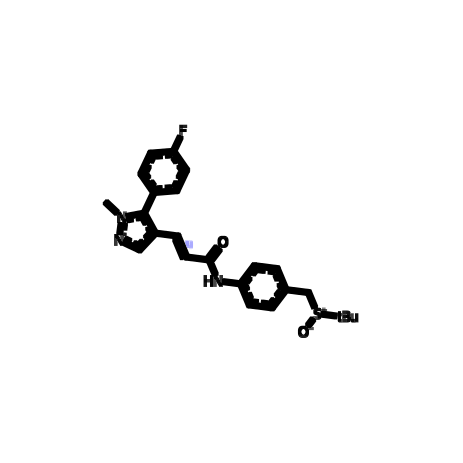 Cn1ncc(/C=C/C(=O)Nc2ccc(C[S+]([O-])C(C)(C)C)cc2)c1-c1ccc(F)cc1